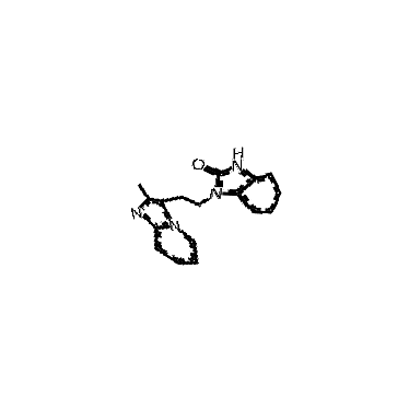 Cc1nc2ccccn2c1CCn1c(=O)[nH]c2ccccc21